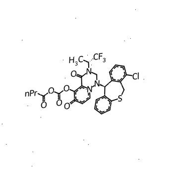 CCCC(=O)OC(=O)Oc1c2n(ccc1=O)N([C@@H]1c3ccccc3SCc3c(Cl)cccc31)CN([C@H](C)C(F)(F)F)C2=O